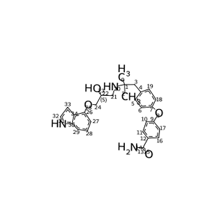 CC(C)(Cc1ccc(Oc2ccc(C(N)=O)cc2)cc1)NC[C@H](O)COc1cccc2[nH]ccc12